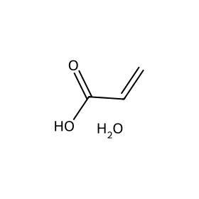 C=CC(=O)O.O